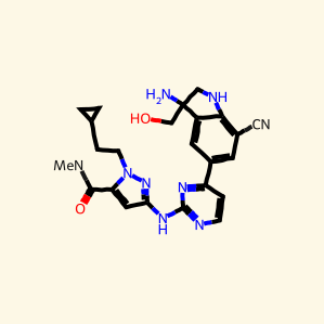 CNC(=O)c1cc(Nc2nccc(-c3cc(C#N)c4c(c3)C(N)(CO)CN4)n2)nn1CCC1CC1